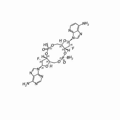 B[P@]1(=O)OC[C@H]2O[C@@H](n3cnc4c(N)ncnc43)[C@H](F)[C@@H]2O[P@@](=O)(S)OC[C@H]2O[C@@H](n3cnc4c(N)ccnc43)[C@H](F)[C@@H]2O1